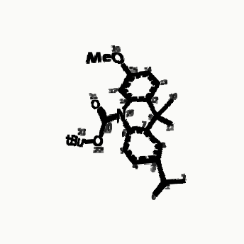 C=C(C)c1ccc2c(c1)C(C)(C)c1ccc(OC)cc1N2C(=O)OC(C)(C)C